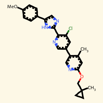 COc1ccc(-c2cnc(-c3ncc(-c4cnc(OCC5(C)CC5)cc4C)cc3Cl)[nH]2)cc1